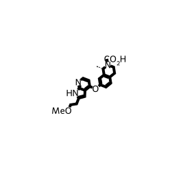 COCCc1cc2c(Oc3ccc4c(c3)[C@H](C)N(C(=O)O)CC4)ccnc2[nH]1